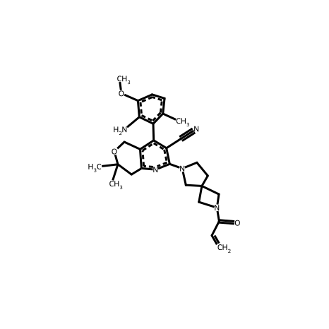 C=CC(=O)N1CC2(CCN(c3nc4c(c(-c5c(C)ccc(OC)c5N)c3C#N)COC(C)(C)C4)C2)C1